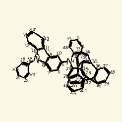 c1ccc(N(c2ccc3c(c2)c2ccccc2n3-c2ccccc2)c2cccc3c2-c2c4cccc2-c2cccc-3c2-c2ccccc2-4)cc1